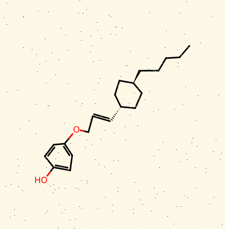 CCCCC[C@H]1CC[C@H](C=CCOc2ccc(O)cc2)CC1